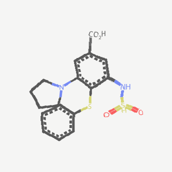 O=C(O)c1cc(N[SH](=O)=O)c(Sc2ccccc2)c(N2CCCC2)c1